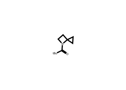 CC(C)(C)C(=O)N1CCC12CC2